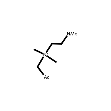 CNCC[N+](C)(C)CC(C)=O